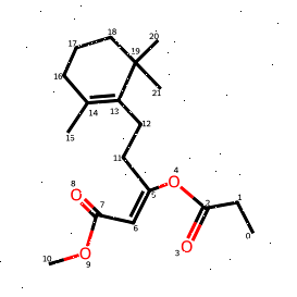 CCC(=O)OC(=CC(=O)OC)CCC1=C(C)CCCC1(C)C